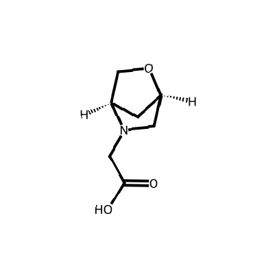 O=C(O)CN1C[C@H]2C[C@@H]1CO2